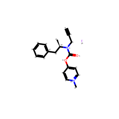 C#CCN(C(=O)Oc1cc[n+](C)cc1)[C@H](C)Cc1ccccc1.[I-]